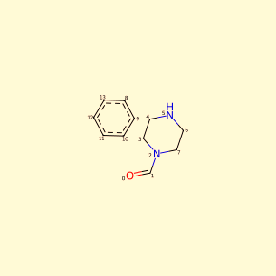 O=CN1CCNCC1.c1ccccc1